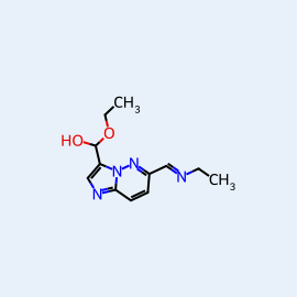 CC/N=C/c1ccc2ncc(C(O)OCC)n2n1